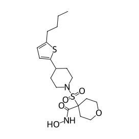 CCCCc1ccc(C2CCN(S(=O)(=O)C3(C(=O)NO)CCOCC3)CC2)s1